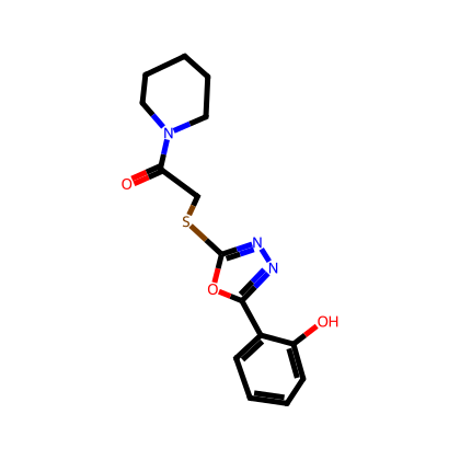 O=C(CSc1nnc(-c2ccccc2O)o1)N1CCCCC1